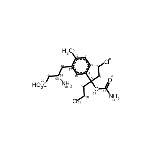 Cc1ccc(C(CCCl)(CCCl)OC(N)=O)cc1C[C@H](N)CC(=O)O